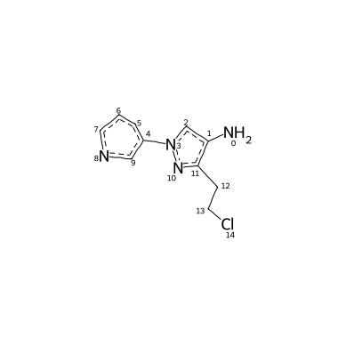 Nc1cn(-c2cccnc2)nc1CCCl